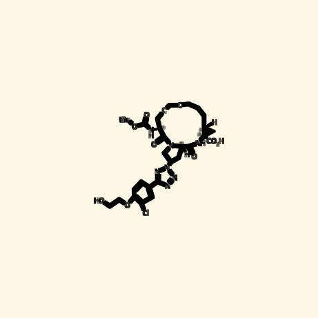 CC(C)(C)OC(=O)N[C@@H]1CCCCCCC[C@@H]2C[C@]2(C(=O)O)NC(=O)[C@@H]2CC(n3nnc(-c4ccc(OCCO)c(Cl)c4)n3)CN2C1=O